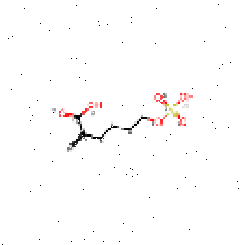 C=C(CCCCOS(=O)(=O)O)C(=O)O